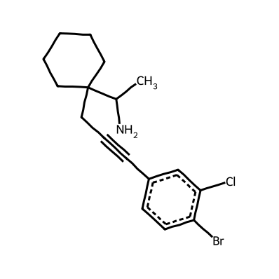 CC(N)C1(CC#Cc2ccc(Br)c(Cl)c2)CCCCC1